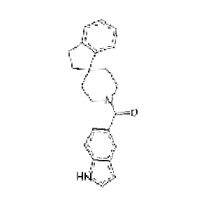 O=C(c1ccc2[nH]ccc2c1)N1CCC2(CCc3ccccc32)CC1